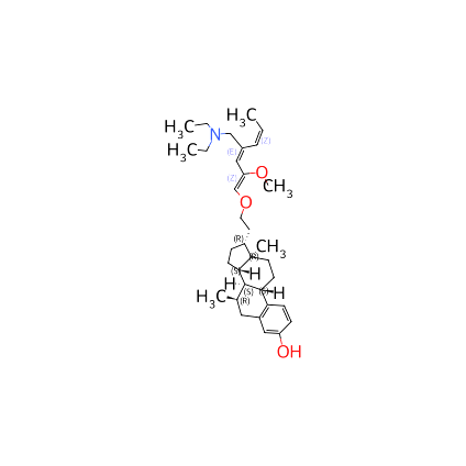 C\C=C/C(=C\C(=C\OCC[C@H]1CC[C@H]2[C@@H]3[C@H](C)Cc4cc(O)ccc4[C@H]3CC[C@]12C)OC)CN(CC)CC